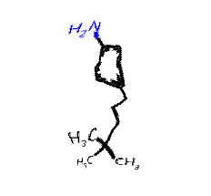 CC(C)(C)CCCc1ccc(N)cc1